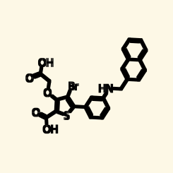 O=C(O)COc1c(C(=O)O)sc(-c2cccc(NCc3ccc4ccccc4c3)c2)c1Br